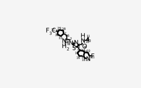 NC(CNc1nc(C(=O)NC2CC2)c(-c2ccc3cnc(F)cc3c2)s1)Cc1ccc(C(F)(F)F)cc1